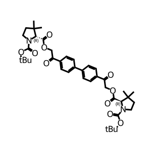 CC(C)(C)OC(=O)N1CCC(C)(C)[C@@H]1C(=O)OCC(=O)c1ccc(-c2ccc(C(=O)COC(=O)[C@@H]3N(C(=O)OC(C)(C)C)CCC3(C)C)cc2)cc1